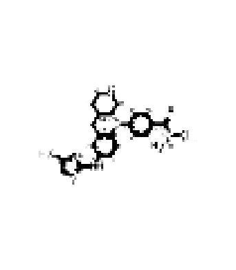 Cc1cnc(Nc2ccc(Oc3ccc(C(=O)N(C)C)cc3)c(CC3CCOCC3)c2)s1